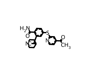 CC(=O)c1ccnc(Sc2ccc(C(N)=O)c(C3CN4CCC3CC4)c2)c1